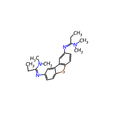 CCC(=Nc1ccc2sc3ccc(N=C(CC)N(C)C)cc3c2c1)N(C)C